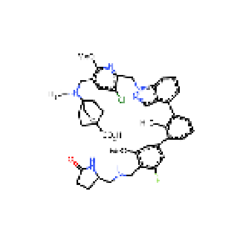 COc1cc(-c2cccc(-c3cccc4c3cnn4Cc3nc(OC)c(CN(C)C45CCC(C(=O)O)(CC4)CC5)cc3Cl)c2C)cc(F)c1CNCC1CCC(=O)N1